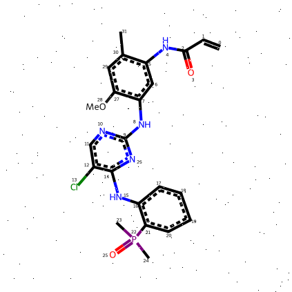 C=CC(=O)Nc1cc(Nc2ncc(Cl)c(Nc3ccccc3P(C)(C)=O)n2)c(OC)cc1C